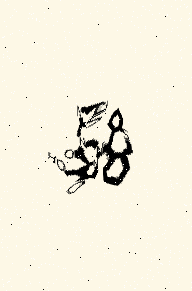 O=C1c2c(O)c(=O)ccn2N(C2c3ccccc3CSc3ccccc32)CN1Cc1ncns1